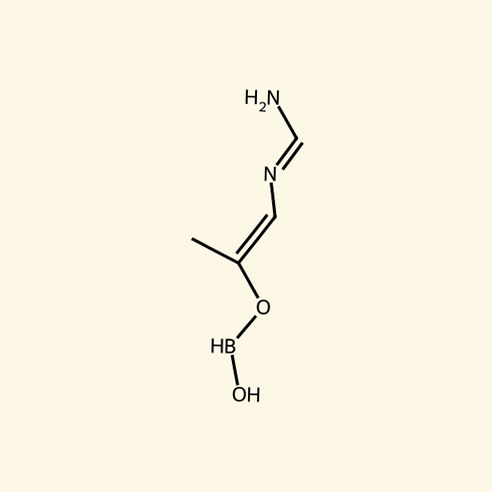 C/C(=C\N=C\N)OBO